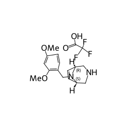 COc1ccc(CN2[C@@H]3C=C[C@H]2CNC3)c(OC)c1.O=C(O)C(F)(F)F